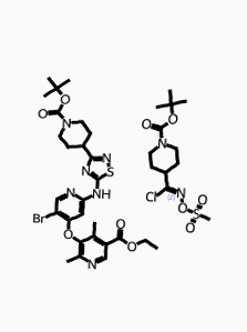 CC(C)(C)OC(=O)N1CCC(/C(Cl)=N/OS(C)(=O)=O)CC1.CCOC(=O)c1cnc(C)c(Oc2cc(Nc3nc(C4CCN(C(=O)OC(C)(C)C)CC4)ns3)ncc2Br)c1C